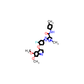 COc1cc2nccc(Oc3ccc(Nc4nn(C)cc4C(=O)Nc4ccc(C)cc4)cc3F)c2cc1OC